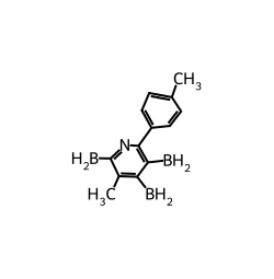 Bc1nc(-c2ccc(C)cc2)c(B)c(B)c1C